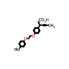 CC#CC(CC(=O)O)c1ccc(OCCOc2ccc(C(C)(C)C)cc2)cc1